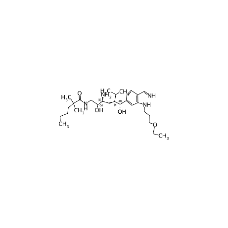 CCCCC(C)(C)C(=O)NC[C@H](O)[C@@H](N)C[C@@H](C(C)C)[C@@H](O)c1ccc(C=N)c(NCCCOCC)c1